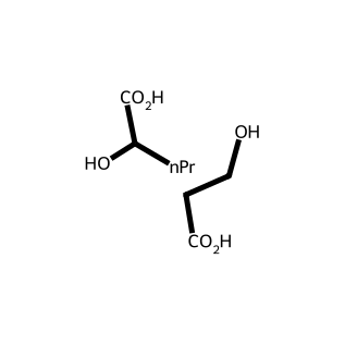 CCCC(O)C(=O)O.O=C(O)CCO